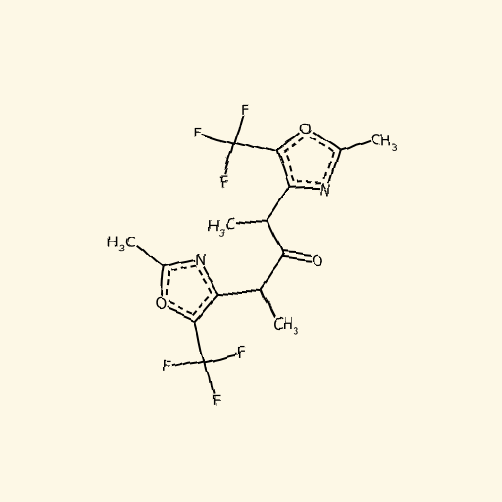 Cc1nc(C(C)C(=O)C(C)c2nc(C)oc2C(F)(F)F)c(C(F)(F)F)o1